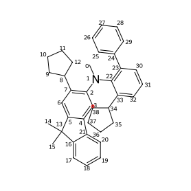 CN(c1cc2c(cc1C1CCCC1)C(C)(C)c1ccccc1-2)c1c(-c2ccccc2)cccc1C1CCCC1